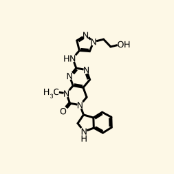 CN1C(=O)N(C2CNc3ccccc32)Cc2cnc(Nc3cnn(CCO)c3)nc21